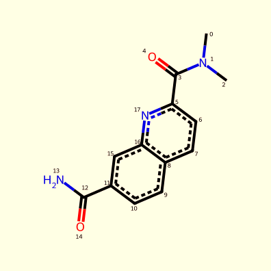 CN(C)C(=O)c1ccc2ccc(C(N)=O)cc2n1